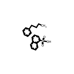 CCCCc1ccccc1.O=S(=O)(O)c1cccc2ccccc12